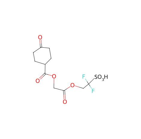 O=C1CCC(C(=O)OCC(=O)OCC(F)(F)S(=O)(=O)O)CC1